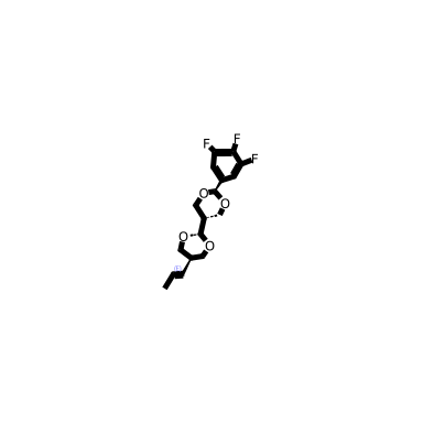 C/C=C/[C@H]1CO[C@H]([C@H]2CO[C@H](c3cc(F)c(F)c(F)c3)OC2)OC1